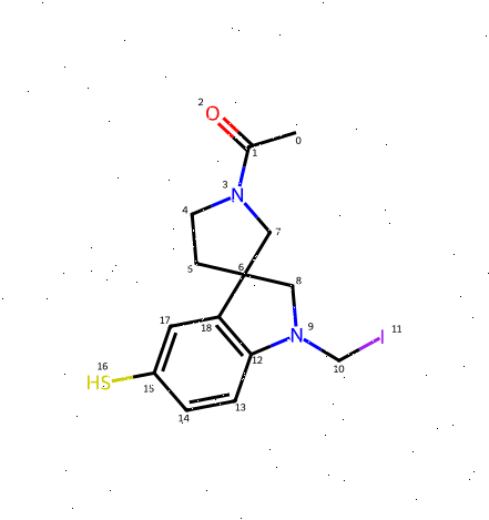 CC(=O)N1CCC2(C1)CN(CI)c1ccc(S)cc12